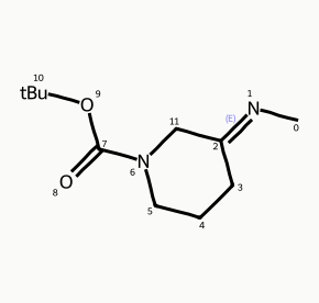 C/N=C1\CCCN(C(=O)OC(C)(C)C)C1